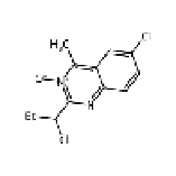 CCC(Cl)c1nc2ccc(Cl)cc2c(C)[n+]1[O-]